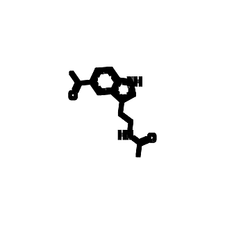 CC(=O)NCCc1c[nH]c2ccc(C(C)=O)cc12